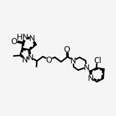 Cc1nn(C(C)COCCC(=O)N2CCN(c3ncccc3Cl)CC2)c2cn[nH]c(=O)c12